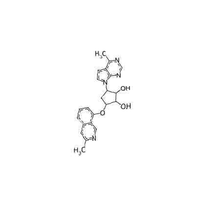 Cc1cc2cccc(OC3CC(n4ccc5c(C)ncnc54)C(O)C3O)c2cn1